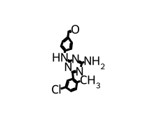 Cc1ccc(Cl)cc1-c1nc(N)nc(Nc2ccc(C=O)cc2)n1